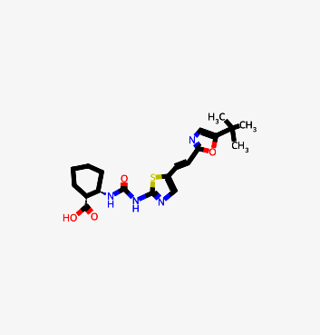 CC(C)(C)c1cnc(/C=C/c2cnc(NC(=O)N[C@H]3CCCC[C@H]3C(=O)O)s2)o1